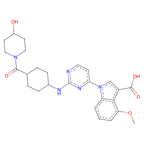 COc1cccc2c1c(C(=O)O)cn2-c1ccnc(NC2CCC(C(=O)N3CCC(O)CC3)CC2)n1